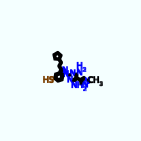 Cn1cc(-c2c(N)nc(-n3nc(CCC4CCCC4)c4cc(S)ccc43)nc2N)cn1